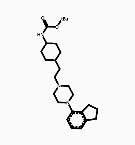 CC(C)(C)OC(=O)NC1CCC(CCN2CCN(c3cccc4c3CCC4)CC2)CC1